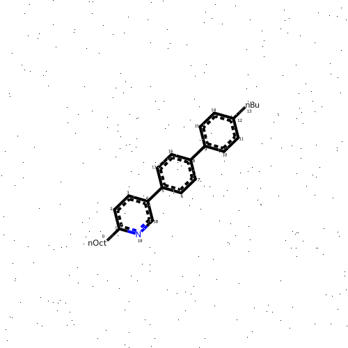 CCCCCCCCc1ccc(-c2ccc(-c3ccc(CCCC)cc3)cc2)cn1